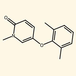 Cc1cccc(C)c1Oc1ccc(=O)n(C)c1